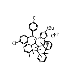 CCCCC1C=C(C(C)(C)C)C=[C]1[Zr+2](=[C](c1ccc(Cl)cc1)c1ccc(Cl)cc1)[CH]1C2C=CC=C(C)C2(C)C2(C)C3(C)C=CC=CC3(C)C3(C)C=CC=CC3(C)C12C.[Cl-].[Cl-]